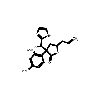 C=CCC1CC(c2ccc(OC)cc2OC)(C(CCC)c2ncc[nH]2)C(=O)O1